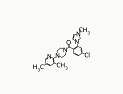 Cc1cnc(N2CCN(C(=O)c3ccc(Cl)cc3N3C=CN(C)C3)CC2)c(C)c1